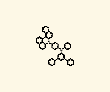 c1ccc(-c2cc(-c3ccccc3)cc(N(c3ccccc3)c3ccc(N4c5ccc6ccccc6c5-c5cccc6cccc4c56)cc3)c2)cc1